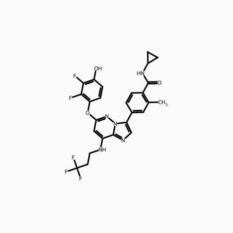 Cc1cc(-c2cnc3c(NCCC(F)(F)F)cc(Oc4ccc(O)c(F)c4F)nn23)ccc1C(=O)NC1CC1